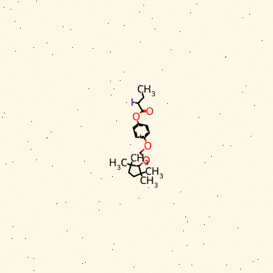 CCC(I)C(=O)Oc1ccc(OCOC2C(C)(C)CCC2(C)C)cc1